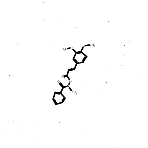 COc1ccc(C=CC(=O)ON(C)C(=O)c2ccccc2)cc1OC